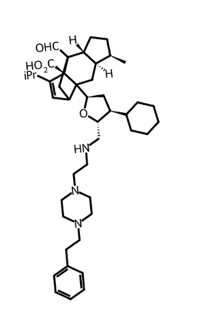 CC(C)C1=CC2CC3(C=O)[C@@H]4CC[C@@H](C)[C@H]4CC2([C@H]2C[C@@H](C4CCCCC4)[C@H](CNCCN4CCN(CCc5ccccc5)CC4)O2)[C@]13C(=O)O